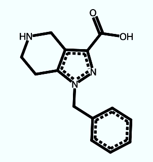 O=C(O)c1nn(Cc2ccccc2)c2c1CNCC2